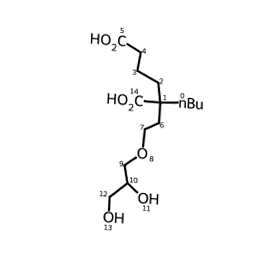 CCCCC(CCCC(=O)O)(CCOCC(O)CO)C(=O)O